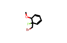 COC1C=CC=CC1(F)CBr